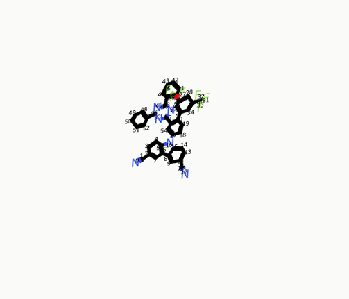 N#Cc1ccc2c(c1)c1cc(C#N)ccc1n2-c1ccc(-c2cc(C(F)(F)F)cc(C(F)(F)F)c2)c(-c2nc(-c3ccccc3)nc(-c3ccccc3)n2)c1